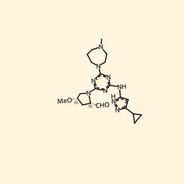 CO[C@H]1C[C@@H](C=O)N(c2nc(Nc3cc(C4CC4)n[nH]3)nc(N3CCCN(C)CC3)n2)C1